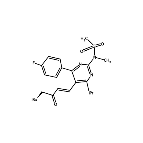 CC[C@H](C)CC(=O)/C=C/c1c(-c2ccc(F)cc2)nc(N(C)S(C)(=O)=O)nc1C(C)C